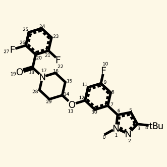 Cn1nc(C(C)(C)C)cc1-c1cc(F)cc(OC2CCN(C(=O)c3c(F)cccc3F)CC2)c1